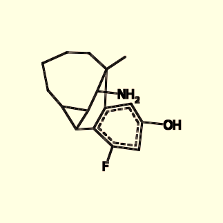 CC12CCCCC3C(c4c(F)cc(O)cc41)C3C2N